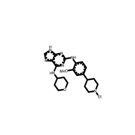 CCN1CCC(c2ccc(Nc3nc(NC4CCOCC4)c4nc[nH]c4n3)c(OC)c2)CC1